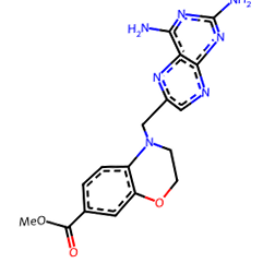 COC(=O)c1ccc2c(c1)OCCN2Cc1cnc2nc(N)nc(N)c2n1